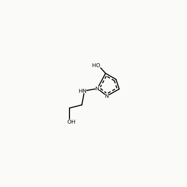 OCCNn1nccc1O